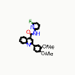 COc1ccc(-c2cc(C(=O)Nc3cccc(F)n3)c3ccccc3n2)cc1OC